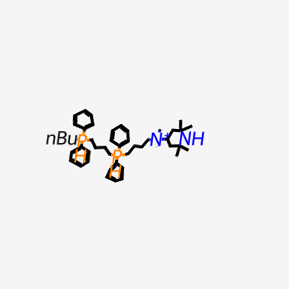 CCCC[PH](CCCC[PH](CCCC[N+](C)(C)C1CC(C)(C)NC(C)(C)C1)(c1ccccc1)c1ccccc1)(c1ccccc1)c1ccccc1